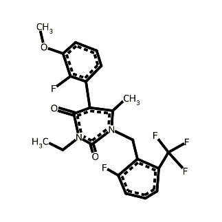 CCn1c(=O)c(-c2cccc(OC)c2F)c(C)n(Cc2c(F)cccc2C(F)(F)F)c1=O